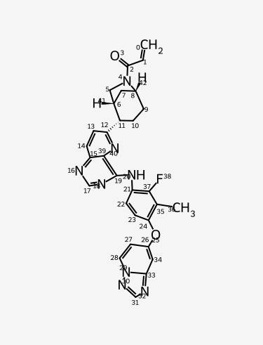 C=CC(=O)N1C[C@@H]2C[C@H]1CC[C@@H]2c1ccc2ncnc(Nc3ccc(Oc4ccn5ncnc5c4)c(C)c3F)c2n1